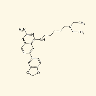 CCN(CC)CCCCCNc1nc(N)nc2ccc(-c3ccc4c(c3)OCO4)cc12